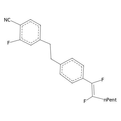 CCCCCC(F)=C(F)c1ccc(CCc2ccc(C#N)c(F)c2)cc1